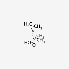 CC(C)CSC[C@H]1[C@@H](C(=O)O)C1(C)C